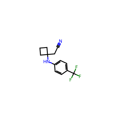 N#CCC1(Nc2ccc(C(F)(F)F)cc2)CCC1